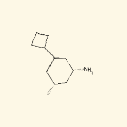 C[C@@H]1CC(C2CCC2)C[C@H](N)C1